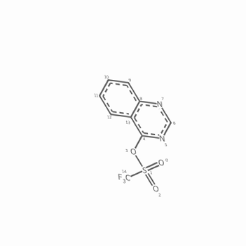 O=S(=O)(Oc1ncnc2ccccc12)C(F)(F)F